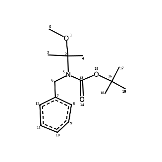 COC(C)(C)N(Cc1ccccc1)C(=O)OC(C)(C)C